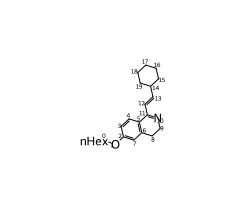 CCCCCCOc1ccc2c(c1)CCN=C2C=CC1CCCCC1